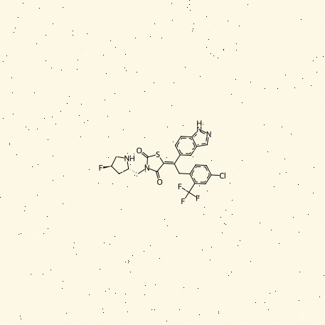 O=C1S/C(=C(/Cc2ccc(Cl)cc2C(F)(F)F)c2ccc3[nH]ncc3c2)C(=O)N1C[C@@H]1C[C@@H](F)CN1